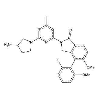 COc1cccc(F)c1-c1c(OC)ccc2c1CN(c1cc(C)nc(N3CCC(N)C3)n1)C2=O